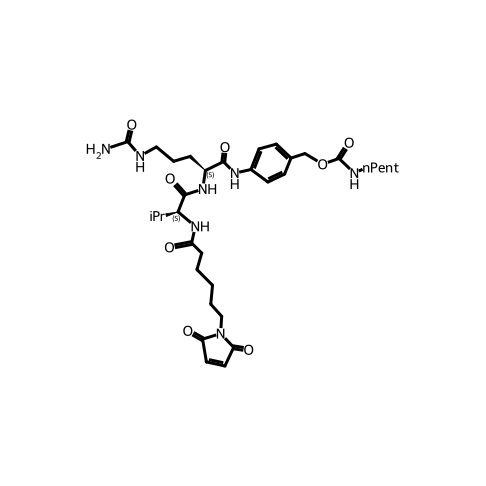 CCCCCNC(=O)OCc1ccc(NC(=O)[C@H](CCCNC(N)=O)NC(=O)[C@@H](NC(=O)CCCCCN2C(=O)C=CC2=O)C(C)C)cc1